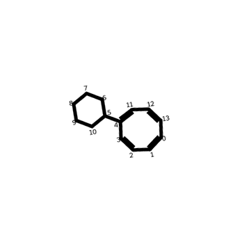 C1=CC=CC(C2CCCCC2)=CC=C1